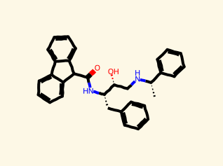 C[C@H](NC[C@@H](O)[C@H](Cc1ccccc1)NC(=O)C1c2ccccc2-c2ccccc21)c1ccccc1